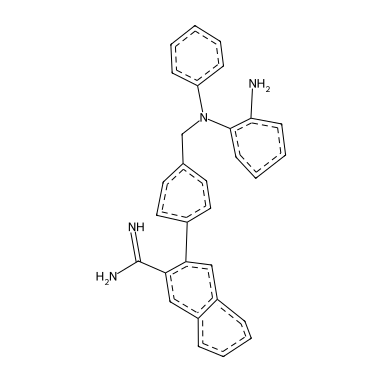 N=C(N)c1cc2ccccc2cc1-c1ccc(CN(c2ccccc2)c2ccccc2N)cc1